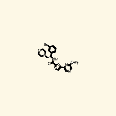 CCOc1cncc(-c2cnc(C(=O)N[C@@H](CN3CCOCC3)c3cccc(Br)c3)s2)n1